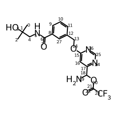 CC(C)(O)CNC(=O)c1cccc(COc2cc(C(N)OC(=O)C(F)(F)F)ncn2)c1